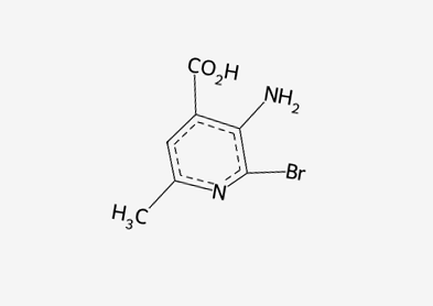 Cc1cc(C(=O)O)c(N)c(Br)n1